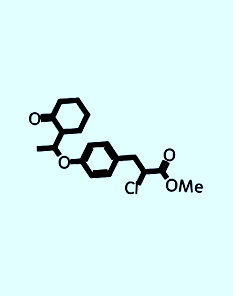 COC(=O)C(Cl)Cc1ccc(OC(C)C2CCCCC2=O)cc1